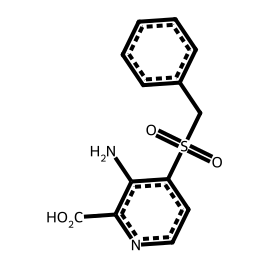 Nc1c(S(=O)(=O)Cc2ccccc2)ccnc1C(=O)O